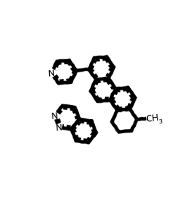 CC1CCCc2c1ccc1c2ccc2c(-c3ccncc3)cccc21.c1ccc2nnccc2c1